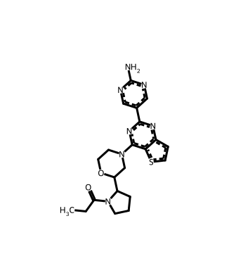 CCC(=O)N1CCCC1C1CN(c2nc(-c3cnc(N)nc3)nc3ccsc23)CCO1